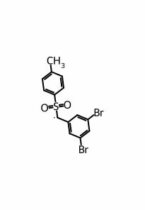 Cc1ccc(S(=O)(=O)[CH]c2cc(Br)cc(Br)c2)cc1